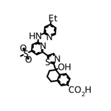 CCc1ccnc(Nc2cc(S(C)(=O)=O)cc(-c3cnc(C4(O)CCCc5cc(C(=O)O)ccc54)s3)n2)c1